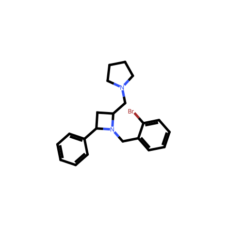 Brc1ccccc1CN1C(CN2CCCC2)CC1c1ccccc1